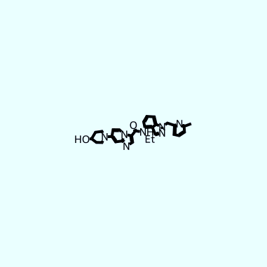 CCc1nn(Cc2cccc(C)n2)c2cccc(NC(=O)c3cnc4cc(N5CCC(O)CC5)ccn34)c12